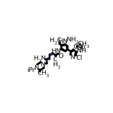 C=Cc1c(NN)cc(-c2cnc(Cl)c(NS(C)(=O)=O)c2)cc1NC(=O)C(=C)/C=C\C=C(/N)CN1CCN(C(C)C)C(C)C1